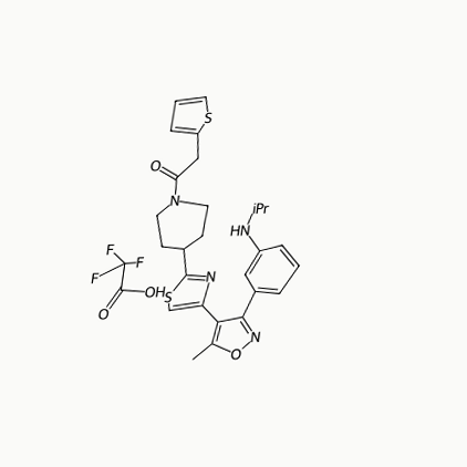 Cc1onc(-c2cccc(NC(C)C)c2)c1-c1csc(C2CCN(C(=O)Cc3cccs3)CC2)n1.O=C(O)C(F)(F)F